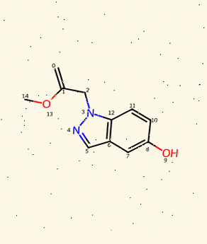 C=C(Cn1ncc2cc(O)ccc21)OC